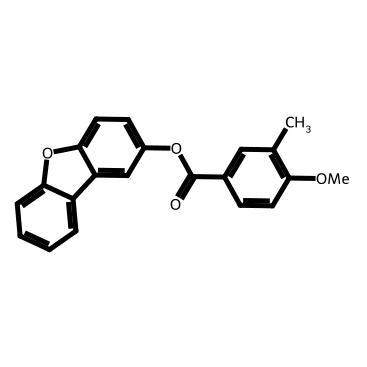 COc1ccc(C(=O)Oc2ccc3oc4ccccc4c3c2)cc1C